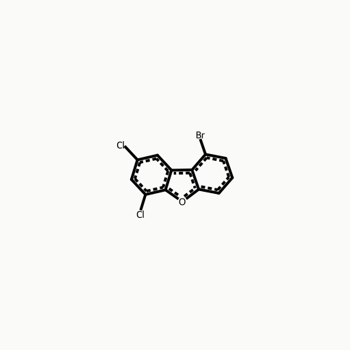 Clc1cc(Cl)c2oc3cccc(Br)c3c2c1